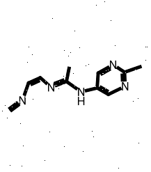 C=N/C=C\N=C(/C)Nc1cnc(C)nc1